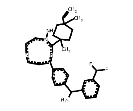 C=CC1(C)CCC(C)(c2nc(-c3ccc(C(C)c4cccc(C(F)F)c4)cc3)ccnccn2N)CC1